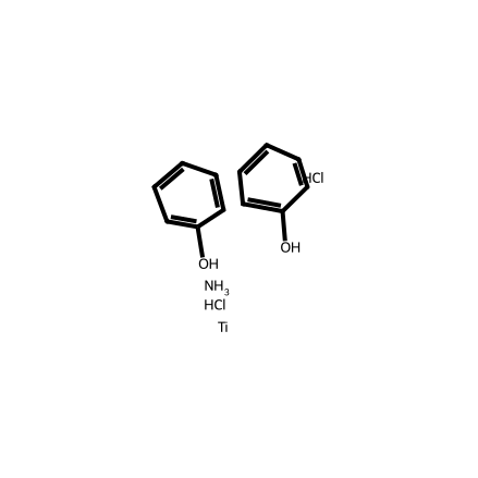 Cl.Cl.N.Oc1ccccc1.Oc1ccccc1.[Ti]